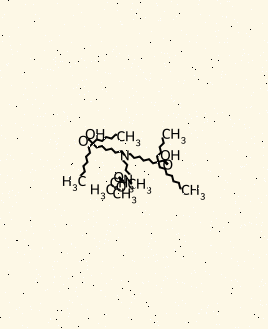 CCCCCCCCC(CCCCCC)(CCCCCCN(CCCCCCC(CCCCCC)(CCCCCCCC)C(=O)O)CCCCN(C)C(=O)OC(C)(C)C)C(=O)O